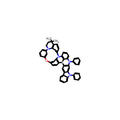 CC1(C)CCN2c3cccc(c3)Oc3ccc4c(c3)N(c3ccc1c2c3)c1cccc2c1B4c1cc3c4ccccc4n(-c4ccccc4)c3cc1N2c1ccccc1